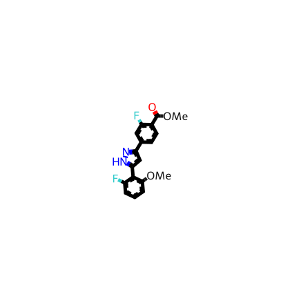 COC(=O)c1ccc(-c2cc(-c3c(F)cccc3OC)[nH]n2)cc1F